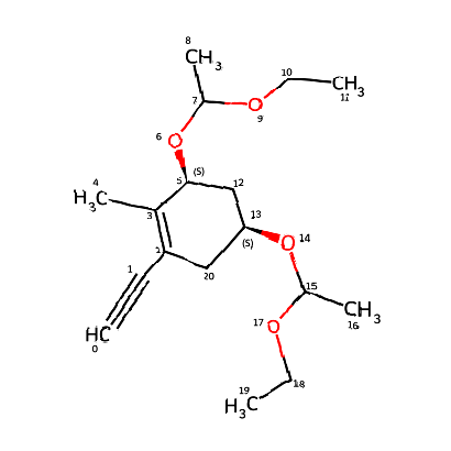 C#CC1=C(C)[C@@H](OC(C)OCC)C[C@@H](OC(C)OCC)C1